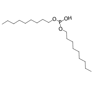 CCCCCCCCCOP(O)OCCCCCCCCC